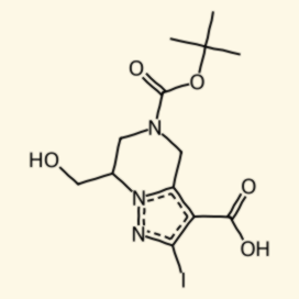 CC(C)(C)OC(=O)N1Cc2c(C(=O)O)c(I)nn2C(CO)C1